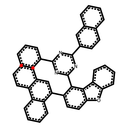 c1ccc(-c2nc(-c3ccc4ccccc4c3)nc(-c3c(-c4cc5ccccc5c5ccccc45)ccc4oc5ccccc5c34)n2)cc1